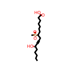 CCCCC[C@@H](O)C#CCC(CCCCCCC(=O)O)S(C)(=O)=O